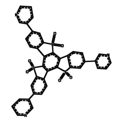 O=S1(=O)c2cc(-c3cccnc3)ccc2-c2c1c1c(c3c2S(=O)(=O)c2cc(-c4cccnc4)ccc2-3)S(=O)(=O)c2cc(-c3cccnc3)ccc2-1